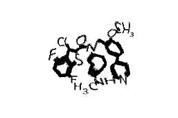 CN[C@H]1CC[C@H](N(Cc2cc(-c3ccncc3)ccc2OC)C(=O)c2sc3c(F)ccc(F)c3c2Cl)CC1